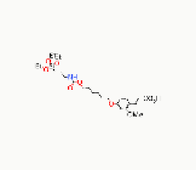 CCO[Si](CCCNC(=O)OCCCCCCOc1ccc(/C=C/C(=O)O)c(OC)c1)(OCC)OCC